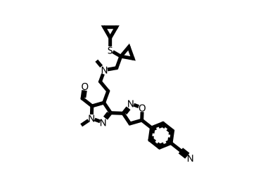 CN(CCC1C(C2=NOC(c3ccc(C#N)cc3)C2)=NN(C)C1C=O)CC1(SC2CC2)CC1